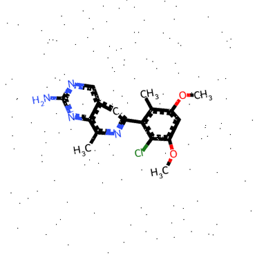 COc1cc(OC)c(Cl)c(-c2cc3cnc(N)nc3c(C)n2)c1C